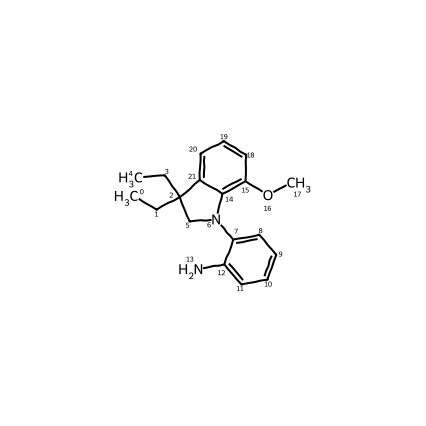 CCC1(CC)CN(c2ccccc2N)c2c(OC)cccc21